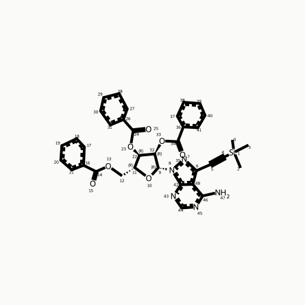 C[Si](C)(C)C#Cc1nn([C@@H]2O[C@H](COC(=O)c3ccccc3)[C@@H](OC(=O)c3ccccc3)[C@H]2OC(=O)c2ccccc2)c2ncnc(N)c12